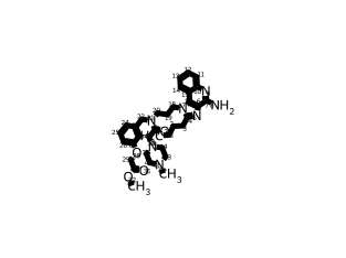 CCCCc1nc2c(N)nc3ccccc3c2n1CCCN(Cc1cccc(OCC(=O)OC)c1)C(=O)CN1CCN(C)CC1